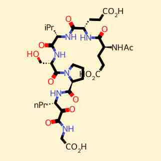 CCC[C@H](NC(=O)[C@@H]1CCCN1C(=O)[C@H](CO)NC(=O)[C@@H](NC(=O)[C@H](CCC(=O)O)NC(=O)[C@H](CCC(=O)O)NC(C)=O)C(C)C)C(=O)C(=O)NCC(=O)O